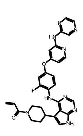 C=CC(=O)N1CCC(c2c[nH]c3ncnc(Nc4ccc(Oc5ccnc(Nc6cnccn6)c5)cc4F)c23)CC1